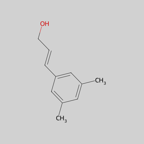 Cc1cc(C)cc(C=CCO)c1